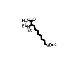 CCCCCCCCCCCCCCCCCCC(C(N)=O)N(CC)CC